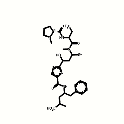 CC(CC(Cc1ccccc1)NC(=O)c1csc(C(O)CC(C(C)C)N(C)C(=O)C(CC(F)(F)F)NC(=O)[C@H]2CCCN2C)n1)C(=O)O